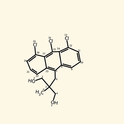 CC(CO)(CO)Cc1c2cccc(Cl)c2c(Cl)c2c(Cl)cccc12